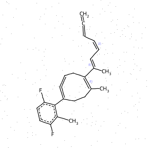 C=C=C\C=C/C=C(C)/C1=C(\C)CCC(c2c(F)ccc(F)c2C)=C=CC1